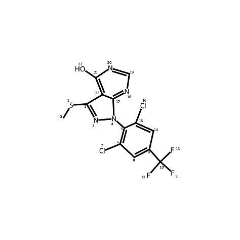 CSc1nn(-c2c(Cl)cc(C(F)(F)F)cc2Cl)c2ncnc(O)c12